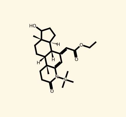 CCOC(=O)C=C1C=C2N([Si](C)(C)C)C(=O)CC[C@]2(C)[C@@H]2CC[C@]3(C)C(O)CC[C@H]3[C@H]12